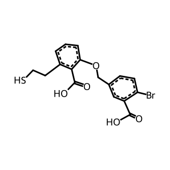 O=C(O)c1cc(COc2cccc(CCS)c2C(=O)O)ccc1Br